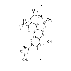 COC[C@H](NC(=O)[C@H](CO)NC(=O)c1cc(C)on1)C(=O)NC(CC(C)C)C(=O)[C@@]1(C)CO1